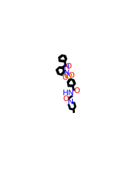 CC1CCN(C(=O)CNC(=O)c2ccc(S(=O)(=O)Nc3ccccc3C(=O)c3ccccc3)cc2)CC1